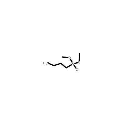 CO[Si](Cl)(CCCN)OC